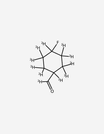 [2H]C(=O)C1([2H])C([2H])([2H])C([2H])([2H])C([2H])(F)C([2H])([2H])C1([2H])[2H]